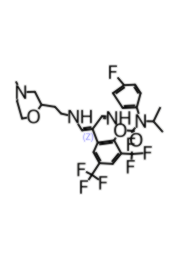 CC(C)N(C(=O)Oc1c(/C(C=N)=C/NCCC2CN(C)CCO2)cc(C(F)(F)F)cc1C(F)(F)F)c1ccc(F)cc1